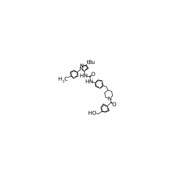 Cc1ccc(-n2nc(C(C)(C)C)cc2NC(=O)Nc2ccc(CC3CCN(C(=O)c4ccc(CO)cc4)CC3)cc2)cc1